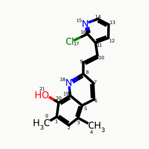 Cc1cc(C)c2ccc(/C=C/c3cccnc3Cl)nc2c1O